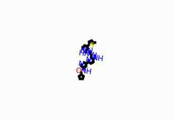 Cc1ccc(-c2ccnc3[nH]c(-c4n[nH]c5ccc(-c6cncc(NC(=O)C7CCCC7)c6)nc45)nc23)s1